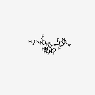 CC=CN1C[C@@H](n2nc(C#Cc3c(F)cc4c(ncn4C4CC4)c3F)c(C(N)=O)c2NC)C[C@@H]1CF